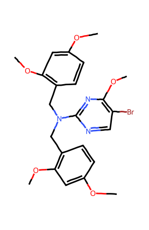 COc1ccc(CN(Cc2ccc(OC)cc2OC)c2ncc(Br)c(OC)n2)c(OC)c1